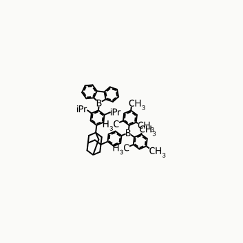 Cc1cc(C)c(B(c2ccc(C34CC5CC(C3)CC(c3cc(C(C)C)c(B6c7ccccc7-c7ccccc76)c(C(C)C)c3)(C5)C4)cc2)c2c(C)cc(C)cc2C)c(C)c1